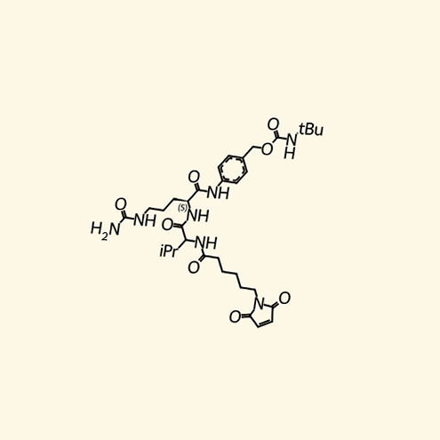 CC(C)C(NC(=O)CCCCCN1C(=O)C=CC1=O)C(=O)N[C@@H](CCCNC(N)=O)C(=O)Nc1ccc(COC(=O)NC(C)(C)C)cc1